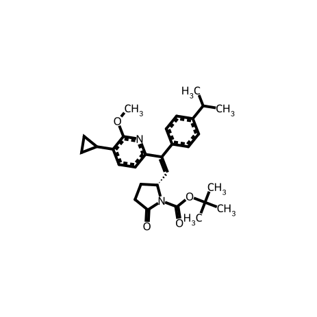 COc1nc(/C(=C\[C@H]2CCC(=O)N2C(=O)OC(C)(C)C)c2ccc(C(C)C)cc2)ccc1C1CC1